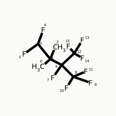 CC(C)(C(F)F)C(F)(C(F)(F)F)C(F)(F)F